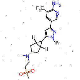 CC(C)n1nc(-c2cnc(N)c(C(F)(F)F)c2)cc1[C@H]1[C@@H]2C[C@H](N(C)CCS(C)(=O)=O)C[C@@H]21